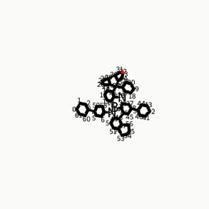 c1ccc(-c2ccc(N3B4c5cccc6c5N(c5ccccc5C65c6ccccc6-c6ccccc65)c5cc(-c6ccccc6)cc(c54)-c4c3ccc3ccccc43)cc2)cc1